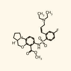 CCN(CC)C/C=C\c1cc(F)ccc1S(=O)(=O)Nc1ccc2c(c1C(=O)OC)OC[C@H]1CCCN21